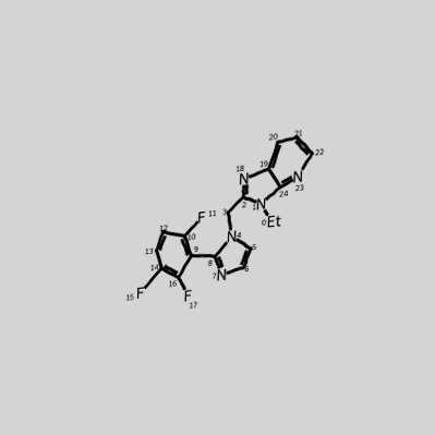 CCn1c(Cn2ccnc2-c2c(F)ccc(F)c2F)nc2cccnc21